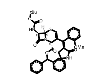 COc1ccccc1C(C1=CS[C@@H]2[C@H](NC(=O)OC(C)(C)C)C(=O)N2[C@H]1C(=O)OC(c1ccccc1)c1ccccc1)=C1CCNC1=O